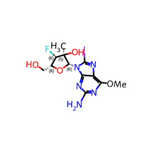 COc1nc(N)nc2c1nc(I)n2[C@@H]1O[C@H](CO)[C@@H](F)[C@@]1(C)O